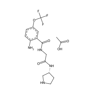 CC(=O)O.Nc1ccc(OC(F)(F)F)cc1C(=O)NCC(=O)N[C@@H]1CCNC1